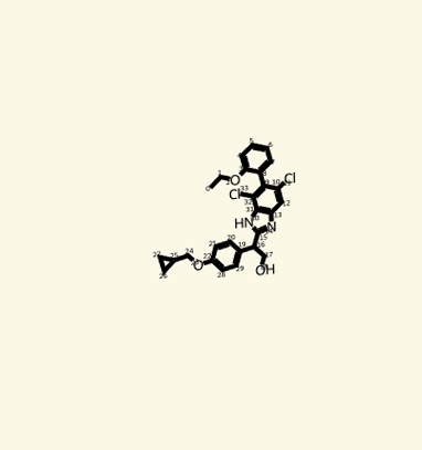 CCOc1ccccc1-c1c(Cl)cc2nc(C(CO)c3ccc(OCC4CC4)cc3)[nH]c2c1Cl